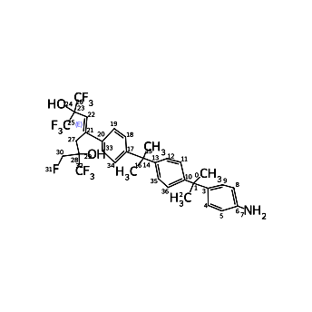 CC(C)(c1ccc(N)cc1)c1ccc(C(C)(C)c2ccc(/C(=C/C(O)(C(F)(F)F)C(F)(F)F)CC(O)(CF)C(F)(F)F)cc2)cc1